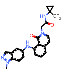 Cn1ncc2cc(Nc3cccc4ccn(CC(=O)NC5(C(F)(F)F)CC5)c(=O)c34)ccc21